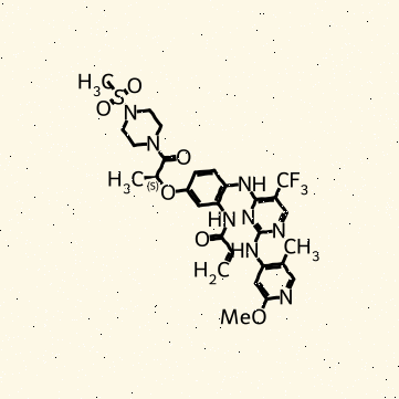 C=CC(=O)Nc1cc(O[C@@H](C)C(=O)N2CCN(S(C)(=O)=O)CC2)ccc1Nc1nc(Nc2cc(OC)ncc2C)ncc1C(F)(F)F